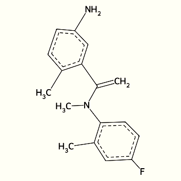 C=C(c1cc(N)ccc1C)N(C)c1ccc(F)cc1C